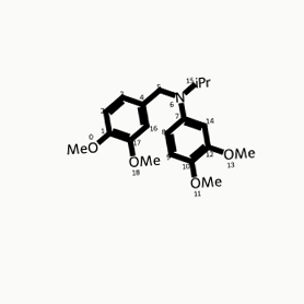 COc1ccc(CN(c2ccc(OC)c(OC)c2)C(C)C)cc1OC